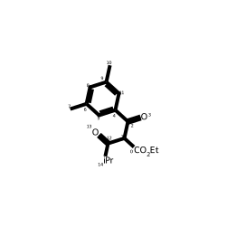 CCOC(=O)C(C(=O)c1cc(C)cc(C)c1)C(=O)C(C)C